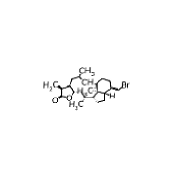 C=C1C(=O)O[C@@H](C[C@@H](C)[C@H]2CC[C@H]3/C(=C/Br)CCC[C@]23C)[C@@H]1CC(C)C